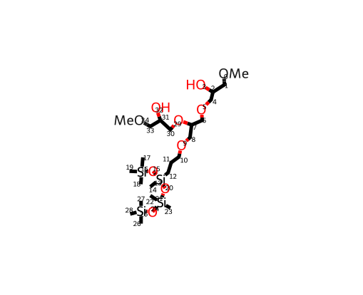 COCC(O)COCC(COCCC[Si](C)(O[Si](C)(C)C)O[Si](C)(C)O[Si](C)(C)C)OCC(O)COC